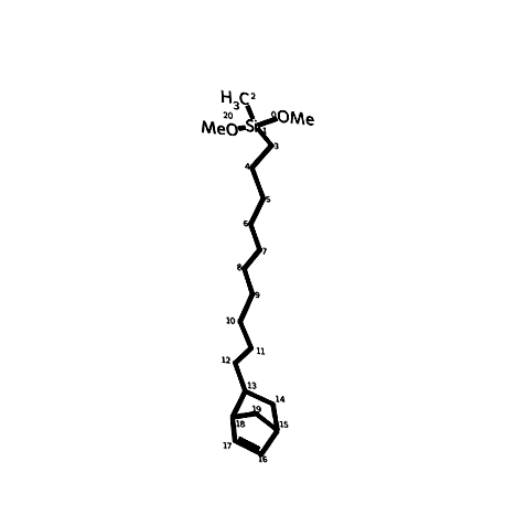 CO[Si](C)(CCCCCCCCCCC1CC2C=CC1C2)OC